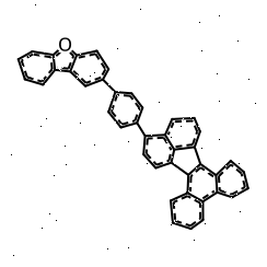 c1ccc2c(c1)oc1ccc(-c3ccc(-c4ccc5c6c(cccc46)-c4c-5c5ccccc5c5ccccc45)cc3)cc12